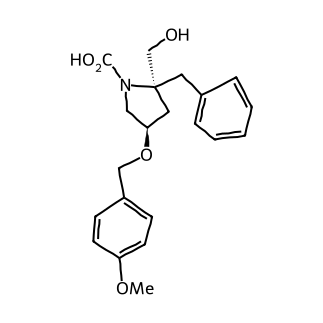 COc1ccc(CO[C@H]2CN(C(=O)O)[C@@](CO)(Cc3ccccc3)C2)cc1